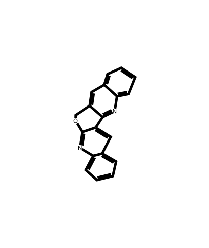 c1ccc2nc3c(cc2c1)-c1nc2ccccc2cc1CO3